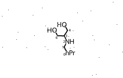 CCCCNC(CO)CO